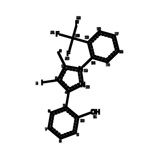 Cc1c(I)c(-c2ccccc2O)nn1-c1ccccc1C(F)(F)F